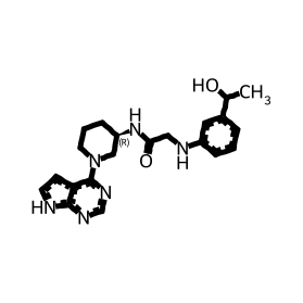 CC(O)c1cccc(NCC(=O)N[C@@H]2CCCN(c3ncnc4[nH]ccc34)C2)c1